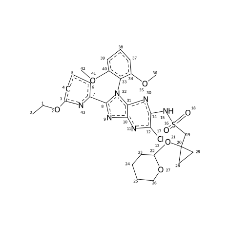 CCOc1cccc(-c2nc3nc(Cl)c(NS(=O)(=O)CC4(OC5CCCCO5)CC4)nc3n2-c2c(OC)cccc2OC)n1